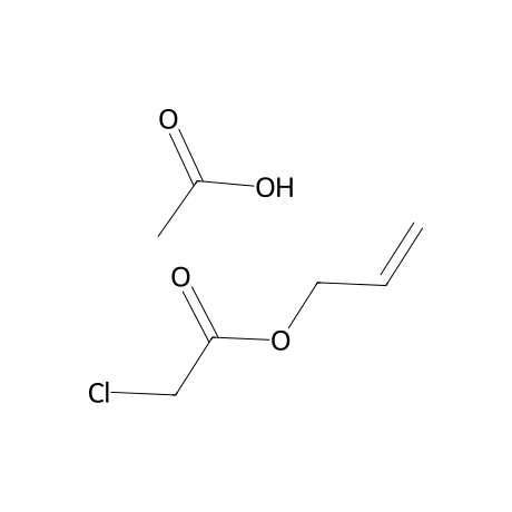 C=CCOC(=O)CCl.CC(=O)O